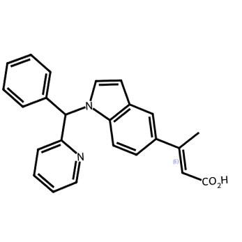 C/C(=C\C(=O)O)c1ccc2c(ccn2C(c2ccccc2)c2ccccn2)c1